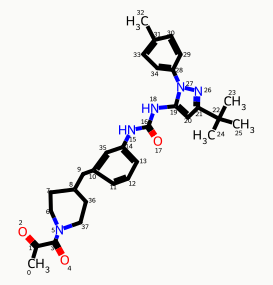 CC(=O)C(=O)N1CCC(Cc2cccc(NC(=O)Nc3cc(C(C)(C)C)nn3-c3ccc(C)cc3)c2)CC1